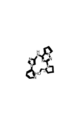 OC[C@@H]1CCCN1c1nc(Nc2cn(-c3cccnc3)cn2)c2cccn2n1